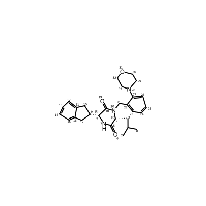 CC(C)C[C@@H]1C(=O)N[C@H](C2Cc3ccccc3C2)C(=O)N1Cc1ccccc1N1CCOCC1